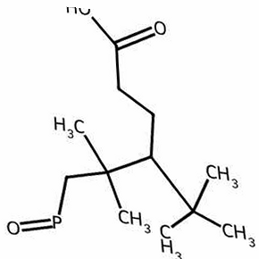 CC(C)(C)C(CCC(=O)O)C(C)(C)CP=O